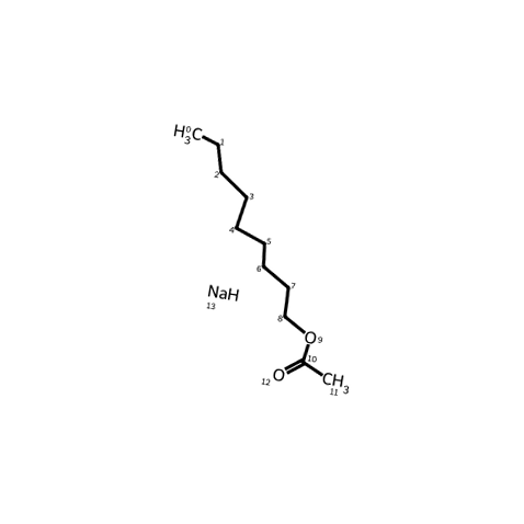 CCCCCCCCCOC(C)=O.[NaH]